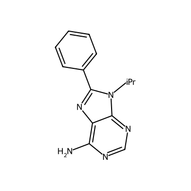 CC(C)n1c(-c2ccccc2)nc2c(N)ncnc21